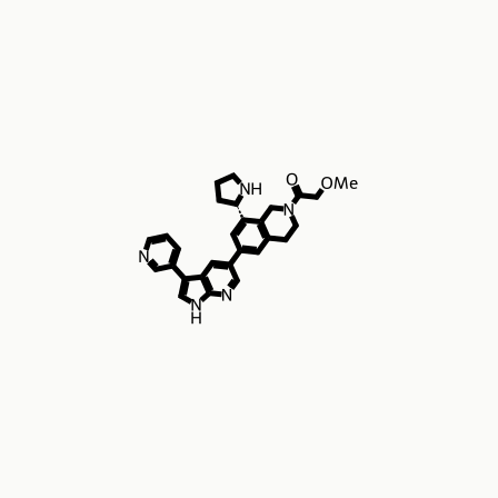 COCC(=O)N1CCc2cc(-c3cnc4[nH]cc(-c5cccnc5)c4c3)cc([C@@H]3CCCN3)c2C1